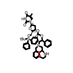 Cc1cn([C@H]2C[C@H](OC(=O)OC(CN(Cc3ccccc3)CC3CCCCN3)c3ccccc3)[C@@H](CO[Si](c3ccccc3)(c3ccccc3)C(C)(C)C)O2)c(=O)[nH]c1=O